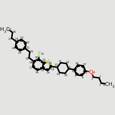 CCCCOc1ccc(C2CCC(c3cc4ccc(CCc5ccc(CCC)cc5)c(F)c4s3)CC2)cc1